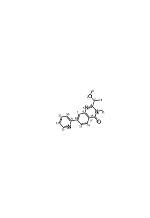 COC(C)c1nc2cc(-c3ccccn3)ccc2c(=O)n1C